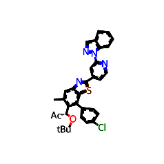 CC(=O)[C@@H](OC(C)(C)C)c1c(C)cc2nc(-c3ccnc(-n4ncc5ccccc54)c3)sc2c1-c1ccc(Cl)cc1